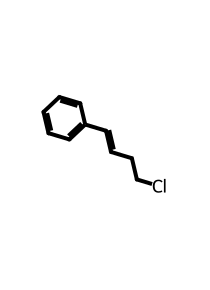 ClCCC=Cc1ccccc1